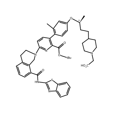 Cc1cc(O[C@@H](C)CCC2CCN(CC(=O)O)CC2)ccc1-c1ccc(N2CCc3cccc(C(=O)Nc4nc5ccccc5s4)c3C2)nc1C(=O)OC(C)(C)C